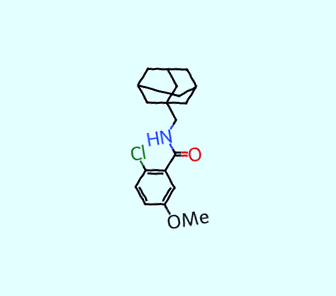 COc1ccc(Cl)c(C(=O)NCC23CC4CC(CC(C4)C2)C3)c1